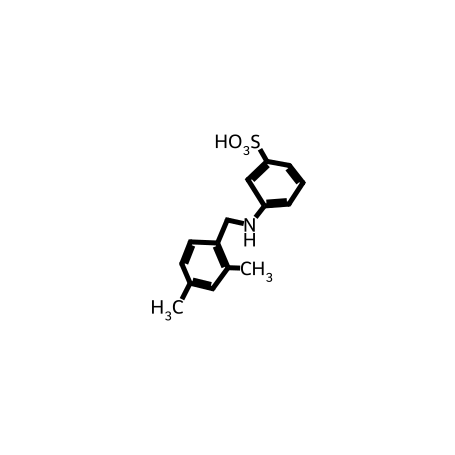 Cc1ccc(CNc2cccc(S(=O)(=O)O)c2)c(C)c1